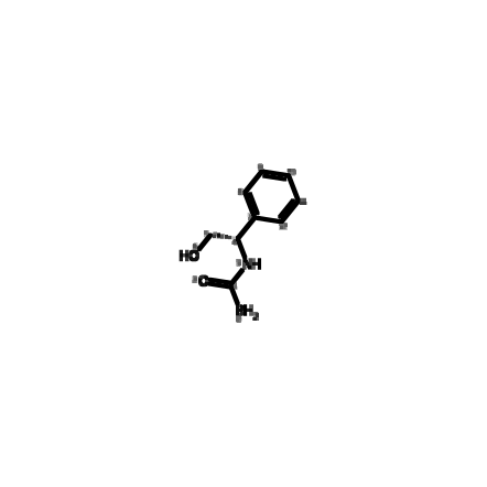 BC(=O)N[C@H](CO)c1ccccc1